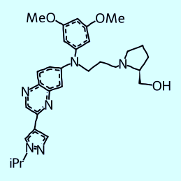 COc1cc(OC)cc(N(CCCN2CCC[C@H]2CO)c2ccc3ncc(-c4cnn(C(C)C)c4)nc3c2)c1